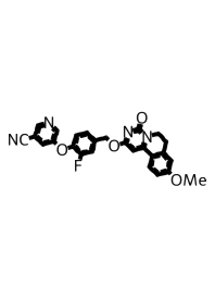 COc1ccc2c(c1)CCn1c-2cc(OCc2ccc(Oc3cncc(C#N)c3)c(F)c2)nc1=O